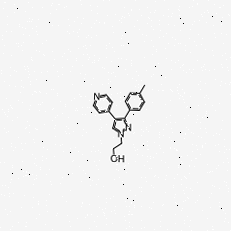 Cc1ccc(-c2nn(CCO)cc2-c2ccncc2)cc1